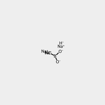 N#CB([O-])[O-].[H-].[Na+].[Na+].[Na+]